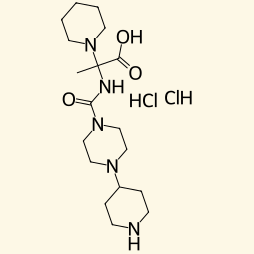 CC(NC(=O)N1CCN(C2CCNCC2)CC1)(C(=O)O)N1CCCCC1.Cl.Cl